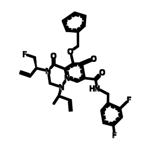 C=CC(C)N1CN([C@@H](C=C)CF)C(=O)c2c(OCc3ccccc3)c(=O)c(C(=O)NCc3ccc(F)cc3F)cn21